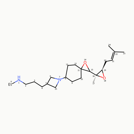 CCNCCCC1CN(C2CCC3(CC2)OC3[C@]2(C)O[C@@H]2CC=C(C)C)C1